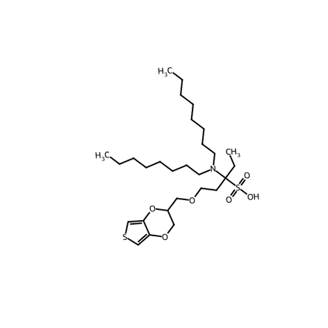 CCCCCCCCN(CCCCCCCC)C(CC)(CCOCC1COc2cscc2O1)S(=O)(=O)O